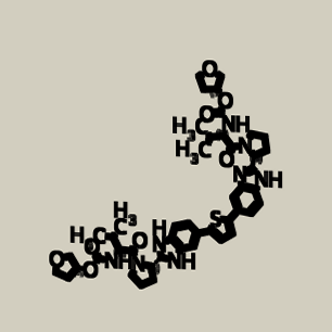 CC(C)[C@H](NC(=O)O[C@H]1CCOC1)C(=O)N1CCC[C@H]1c1nc2cc(-c3ccc(-c4ccc5c(c4)NC([C@@H]4CCCN4C(=O)[C@@H](NC(=O)O[C@H]4CCOC4)C(C)C)N5)s3)ccc2[nH]1